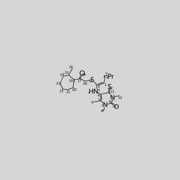 CCC/C=C(/Nc1c(C)n(C)c(=O)n(C)c1=S)SCC(=O)C1CCCCCC1C